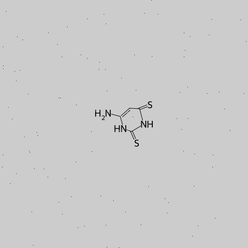 Nc1cc(=S)[nH]c(=S)[nH]1